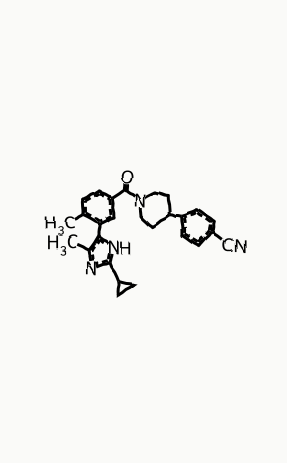 Cc1ccc(C(=O)N2CCC(c3ccc(C#N)cc3)CC2)cc1-c1[nH]c(C2CC2)nc1C